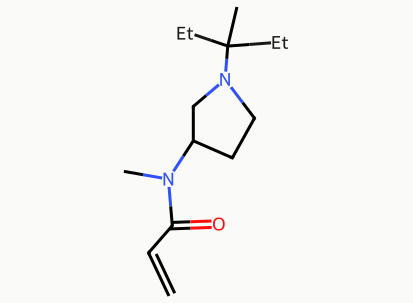 C=CC(=O)N(C)C1CCN(C(C)(CC)CC)C1